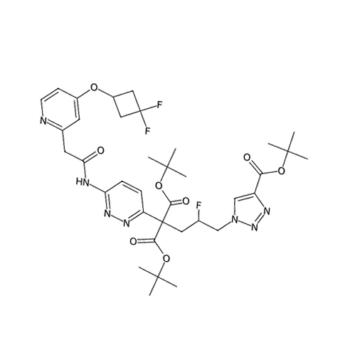 CC(C)(C)OC(=O)c1cn(CC(F)CC(C(=O)OC(C)(C)C)(C(=O)OC(C)(C)C)c2ccc(NC(=O)Cc3cc(OC4CC(F)(F)C4)ccn3)nn2)nn1